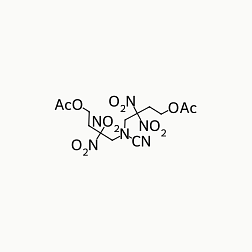 CC(=O)OCCC(CN(C#N)CC(CCOC(C)=O)([N+](=O)[O-])[N+](=O)[O-])([N+](=O)[O-])[N+](=O)[O-]